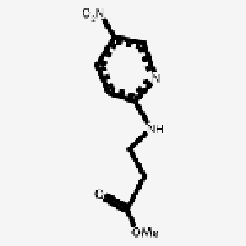 COC(=O)CCNc1ccc([N+](=O)[O-])cn1